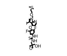 C[Si](C)(C)CCOCn1cc(I)c2c(Oc3c(F)cc(NC(=S)NCC4(CO)COC4)cc3F)ccnc21